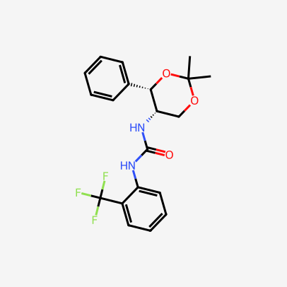 CC1(C)OC[C@H](NC(=O)Nc2ccccc2C(F)(F)F)[C@H](c2ccccc2)O1